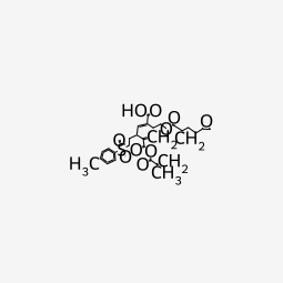 C=C(C)C(=O)OC(=O)C(=C)C(C=C(CCOC(=O)C(=C)CCC1CO1)C(=O)O)CCS(=O)(=O)c1ccc(C)cc1